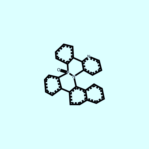 O=P12c3ccccc3-c3ccc4ccccc4c3N1c1cccnc1-c1ccccc12